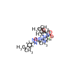 CC(C)c1ccc(-c2noc(C(C)Nc3ncc(F)c(N4C(=O)OC[C@@H]4[C@@H](C)OC(C)(C)C)n3)n2)cc1